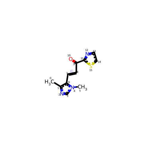 Cc1ncn(C)c1/C=C/C(=O)c1nccs1